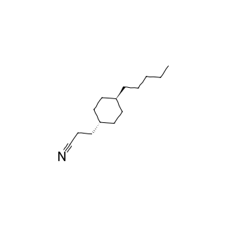 CCCCC[C@H]1CC[C@H](CCC#N)CC1